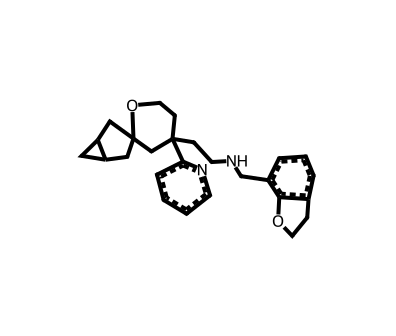 c1ccc(C2(CCNCc3cccc4c3OCC4)CCOC3(CC4CC4C3)C2)nc1